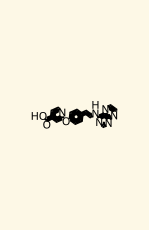 O=C(O)c1ccnc(Oc2ccc(CCNc3ncnc4nccnc34)cc2)c1